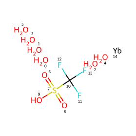 O.O.O.O.O.O.O=S(=O)(O)C(F)(F)F.[Yb]